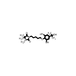 CCCc1cc(C(O)(C(F)(F)F)C(F)(F)F)cc(CCC)c1OCCCCCN1C(=O)N(C)C(C)(C)C1=O